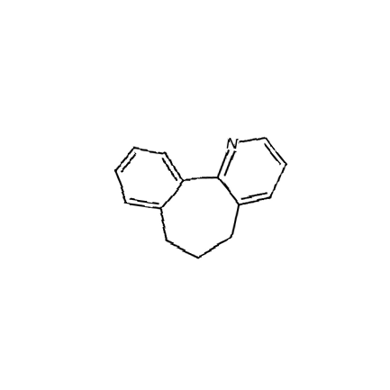 c1ccc2c(c1)CCCc1cccnc1-2